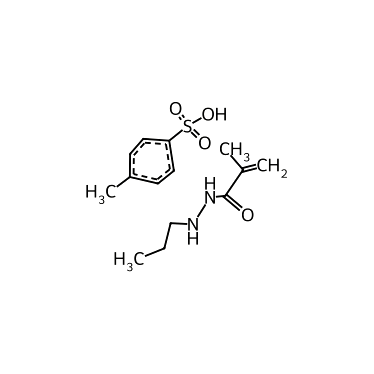 C=C(C)C(=O)NNCCC.Cc1ccc(S(=O)(=O)O)cc1